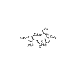 COc1cc(OC)c(/C=C/S(=O)(=O)Nc2ccc(OC)c(N/C=C\C(C)=O)c2)c(OC)c1